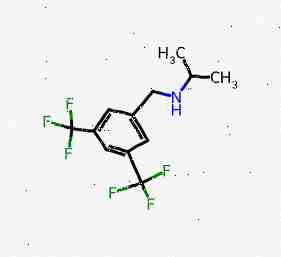 CC(C)NCc1cc(C(F)(F)F)cc(C(F)(F)F)c1